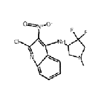 CN1CC(Nc2c([N+](=O)[O-])c(Cl)nc3ccccc23)C(F)(F)C1